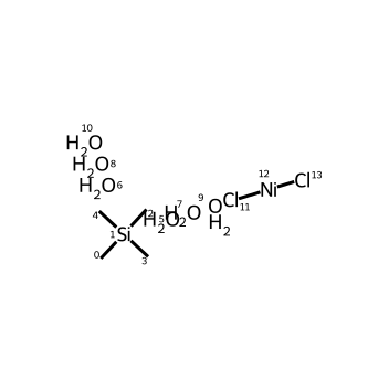 C[Si](C)(C)C.O.O.O.O.O.O.[Cl][Ni][Cl]